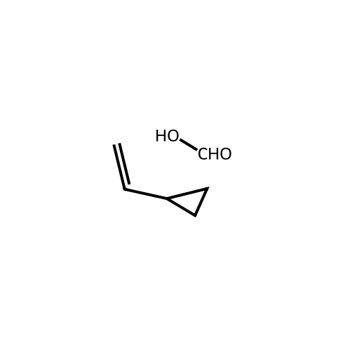 C=CC1CC1.O=CO